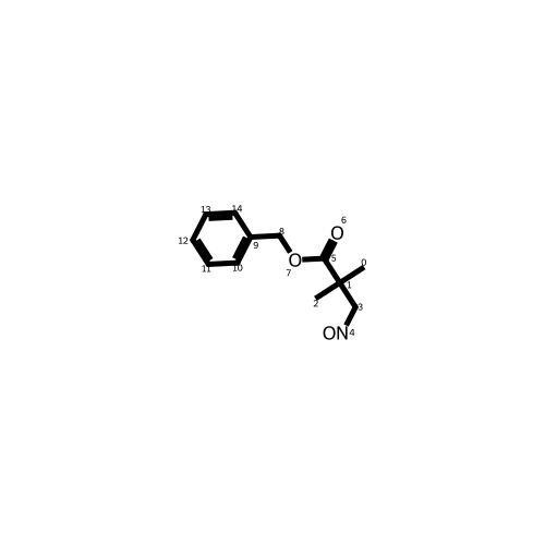 CC(C)(CN=O)C(=O)OCc1ccccc1